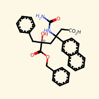 NC(=O)NC(CC(=O)O)(C[C@@](O)(Cc1ccccc1)C(=O)OCc1ccccc1)c1ccc2ccccc2c1